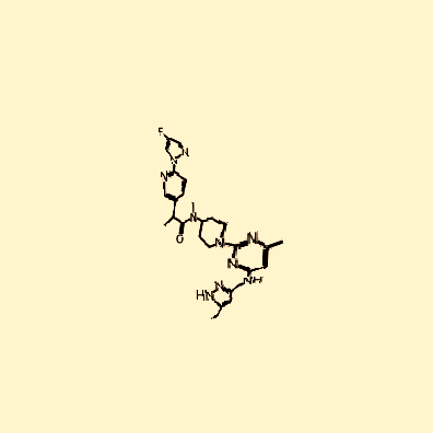 Cc1cc(Nc2cc(C)[nH]n2)nc(N2CCC(N(C)C(=O)C(C)c3ccc(-n4cc(F)cn4)nc3)CC2)n1